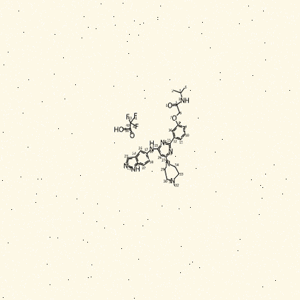 CC(C)NC(=O)COc1cccc(-c2nc(Nc3ccc4[nH]ncc4c3)cc(N3CCN(C)CC3)n2)c1.O=C(O)C(F)(F)F